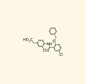 O=C(O)Cc1ccc(NC(=O)c2cc(Cl)ccc2OCc2ccccc2)c(Cl)c1